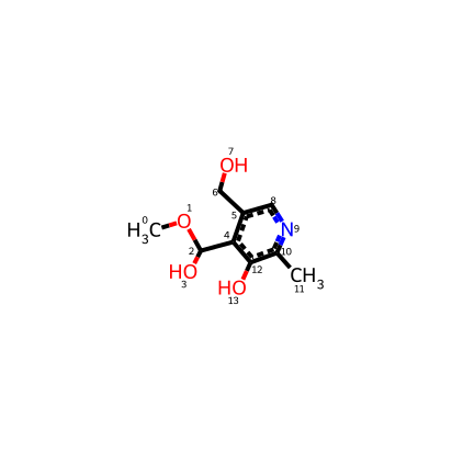 COC(O)c1c(CO)cnc(C)c1O